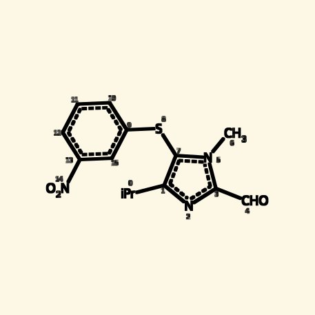 CC(C)c1nc(C=O)n(C)c1Sc1cccc([N+](=O)[O-])c1